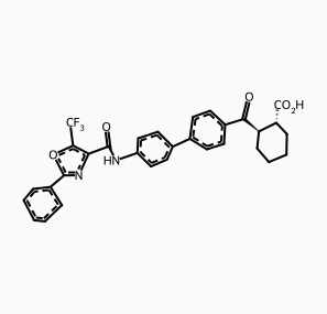 O=C(Nc1ccc(-c2ccc(C(=O)[C@@H]3CCCC[C@H]3C(=O)O)cc2)cc1)c1nc(-c2ccccc2)oc1C(F)(F)F